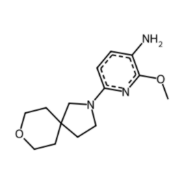 COc1nc(N2CCC3(CCOCC3)C2)ccc1N